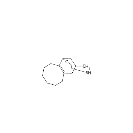 CC1CC2CCC(S)C1C1=C2CCCCCC1